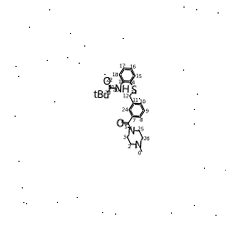 CN1CCN(C(=O)c2cccc(CSc3ccccc3NC(=O)C(C)(C)C)c2)CC1